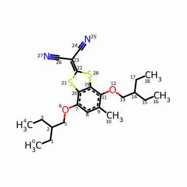 CCC(CC)COc1cc(C)c(OCC(CC)CC)c2c1SC(=C(C#N)C#N)S2